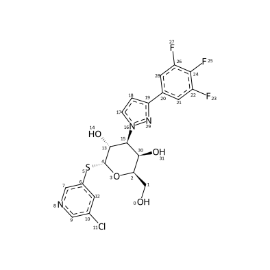 OC[C@H]1O[C@H](Sc2cncc(Cl)c2)[C@H](O)[C@@H](n2ccc(-c3cc(F)c(F)c(F)c3)n2)[C@H]1O